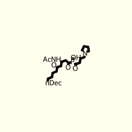 CCCCCCCCCCCCCCC(=O)CC(CC(=O)P(O)C(=O)CCCN1CCCC1)NC(C)=O